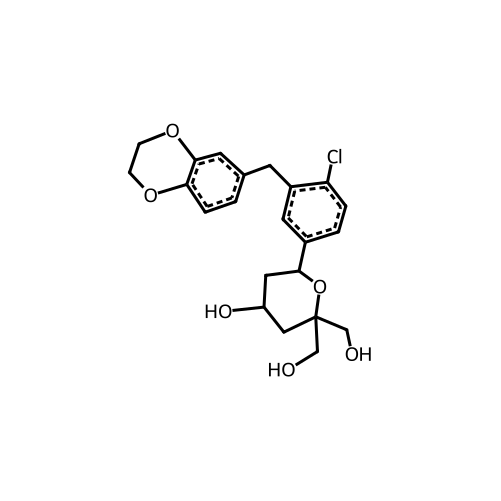 OCC1(CO)CC(O)CC(c2ccc(Cl)c(Cc3ccc4c(c3)OCCO4)c2)O1